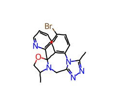 Cc1nnc2n1-c1ccc(Br)cc1C1(c3ccccn3)OCC(C)N1C2